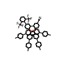 Cc1ccc(-c2ccc3c(c2)c2cc(-c4ccc(C)cc4)ccc2n3-c2ccc(C#N)cc2-c2cc(-c3c(C(F)(F)F)cccc3C(F)(F)F)ccc2-n2c3ccc(-c4ccc(C)cc4)cc3c3cc(-c4ccc(C)cc4)ccc32)cc1